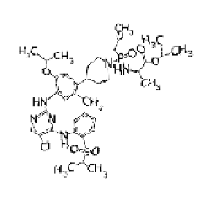 COCP(=O)(NC(C)C(=O)OC(C)C)N1CCC(c2cc(OC(C)C)c(Nc3ncc(Cl)c(Nc4ccccc4S(=O)(=O)C(C)C)n3)cc2C)CC1